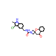 Cc1[nH]c2ccc(CNC(=O)N3CC4(CC(=O)c5ccccc5O4)C3)cc2c1Cl